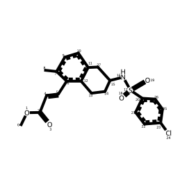 COC(=O)C=Cc1c(C)ccc2c1CCC(NS(=O)(=O)c1ccc(Cl)cc1)C2